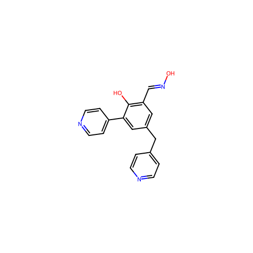 ON=Cc1cc(Cc2ccncc2)cc(-c2ccncc2)c1O